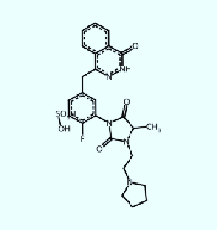 CC1C(=O)N(c2cc(Cc3n[nH]c(=O)c4ccccc34)ccc2F)C(=O)N1CCN1CCCC1.O=S(=O)(O)O